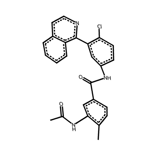 CC(=O)Nc1cc(C(=O)Nc2ccc(Cl)c(-c3nccc4ccccc34)c2)ccc1C